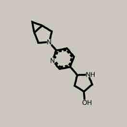 OC1CNC(c2ccc(N3CC4CC4C3)nc2)C1